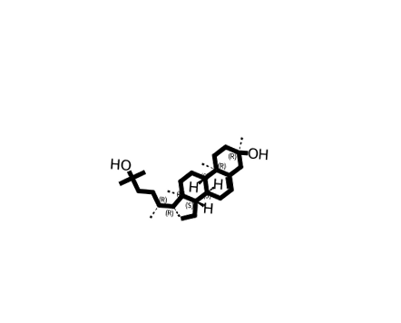 C[C@H](CCC(C)(C)O)[C@H]1CC[C@H]2[C@@H]3CC=C4C[C@](C)(O)CC[C@]4(C)[C@H]3CC[C@]12C